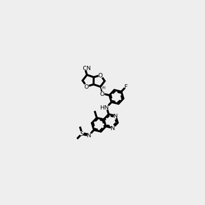 Cc1cc(N=S(C)C)cc2ncnc(Nc3ccc(F)cc3O[C@@H]3COC4C(C#N)COC43)c12